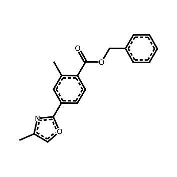 Cc1coc(-c2ccc(C(=O)OCc3ccccc3)c(C)c2)n1